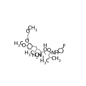 COCCCOc1cc(C[C@@H](C[C@H](N)[C@@H](O)C[C@H](C(=O)NCc2cccc(F)c2)C(C)C)C(C)C)ccc1OC